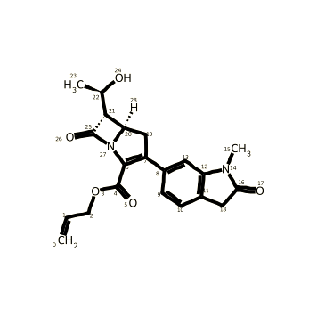 C=CCOC(=O)C1=C(c2ccc3c(c2)N(C)C(=O)C3)C[C@@H]2[C@@H]([C@@H](C)O)C(=O)N12